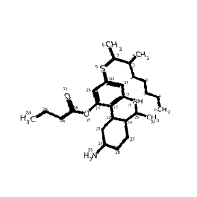 CCCCCC(C)C(C)Sc1cc2c(c(OC(=O)CCC)c1)C1CC(N)CCC1C(C)N2